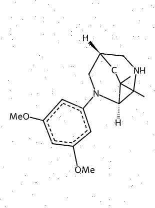 COc1cc(OC)cc(N2C[C@@H]3CNC[C@@H]2C(C)(C)C3)c1